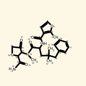 Cc1occc1C(=O)NC(CC(C)(C)Cc1ccccc1)C(=O)N(C)C1C(=O)COC1C(N)=O